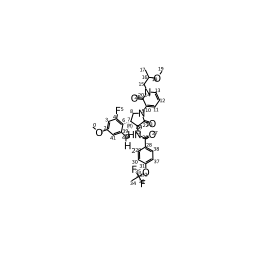 COc1cc(F)c([C@@H]2CN(c3cccn(CC(C)OC)c3=O)C(=O)[C@H]2NC(=O)c2ccc(OC(C)(F)F)cc2)c(P)c1